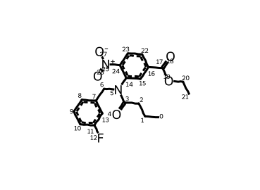 CCCC(=O)N(Cc1cccc(F)c1)c1cc(C(=O)OCC)ccc1[N+](=O)[O-]